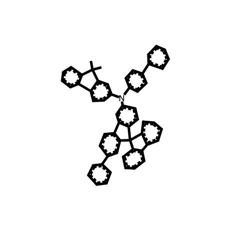 CC1(C)c2ccccc2-c2ccc(N(c3ccc(-c4ccccc4)cc3)c3ccc4c(c3)-c3ccc(-c5ccccc5)cc3C43c4ccccc4-c4ccccc43)cc21